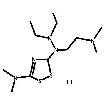 CCN(CC)N(CCN(C)C)C1N=C(N(C)C)SS1.I